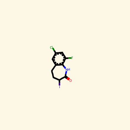 O=C1Nc2c(F)cc(Cl)cc2CCC1I